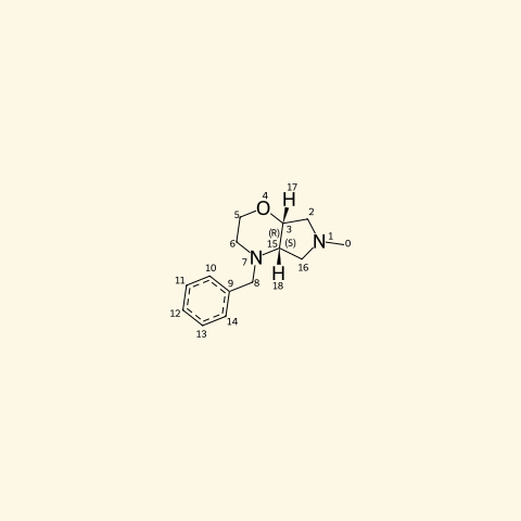 CN1C[C@H]2OCCN(Cc3ccccc3)[C@H]2C1